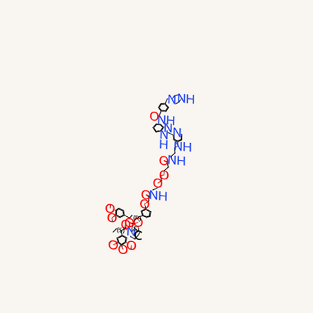 CC[C@H](C(=O)N1CCCC[C@H]1C(=O)O[C@H](CCc1ccc(OC)c(OC)c1)c1cccc(OCC(=O)NCCOCCOCCC(=O)NCCCNc2ccnc(-c3nc4c(NC(=O)c5ccc(CN6CCNCC6)cc5)cccc4[nH]3)c2)c1)c1cc(OC)c(OC)c(OC)c1